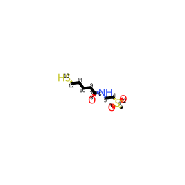 CS(=O)(=O)CCNC(=O)CCCCS